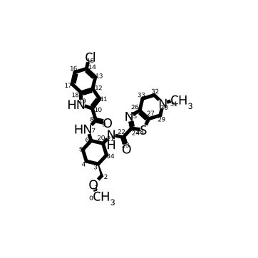 COC[C@H]1CCC(NC(=O)c2cc3cc(Cl)ccc3[nH]2)C(NC(=O)c2nc3c(s2)CN(C)CC3)C1